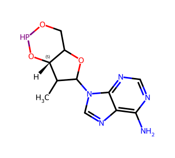 CC1C(n2cnc3c(N)ncnc32)OC2COPO[C@H]21